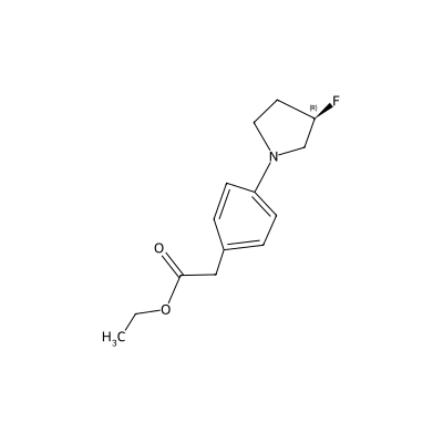 CCOC(=O)Cc1ccc(N2CC[C@@H](F)C2)cc1